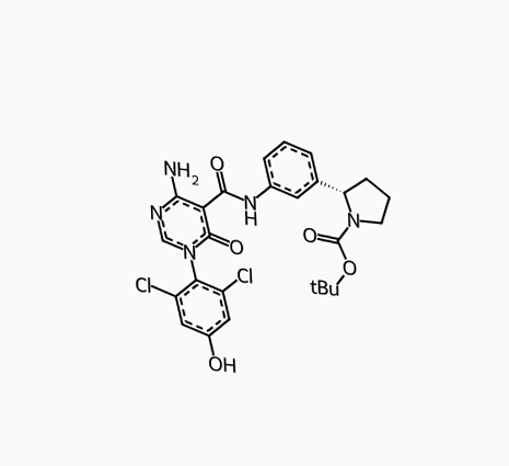 CC(C)(C)OC(=O)N1CCC[C@H]1c1cccc(NC(=O)c2c(N)ncn(-c3c(Cl)cc(O)cc3Cl)c2=O)c1